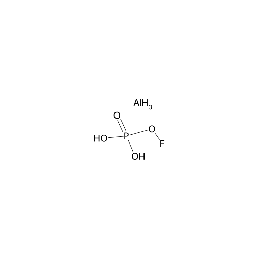 O=P(O)(O)OF.[AlH3]